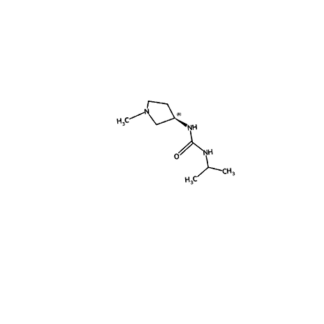 CC(C)NC(=O)N[C@@H]1CCN(C)C1